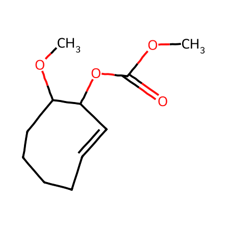 COC(=O)OC1/C=C/CCCCC1OC